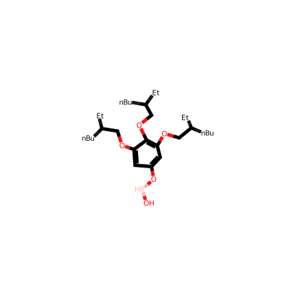 CCCCC(CC)COc1cc(OBO)cc(OCC(CC)CCCC)c1OCC(CC)CCCC